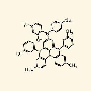 Cc1cccc(N2c3cc(C)ccc3B3c4ccc(C)cc4N(c4cccc(C)c4)c4cc(N(c5ccc(C(C)(C)C)cc5)c5ccc(C)cc5C)cc2c43)c1